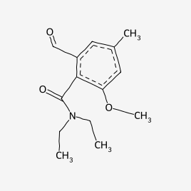 CCN(CC)C(=O)c1c(C=O)cc(C)cc1OC